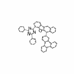 c1ccc(-c2nc(-c3ccccc3)nc(-c3cccc4c3oc3c(-c5ccc6c7ccccc7c7ccccc7c6c5)c5ccccc5cc34)n2)cc1